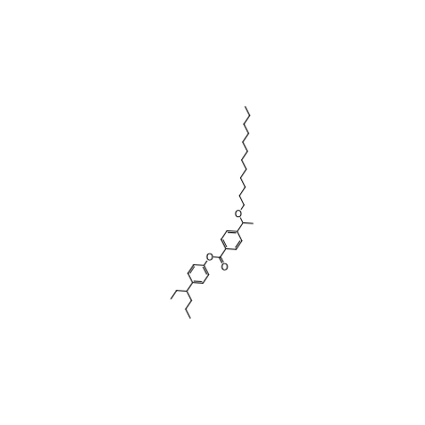 CCCCCCCCCCCCOC(C)c1ccc(C(=O)Oc2ccc(C(CC)CCC)cc2)cc1